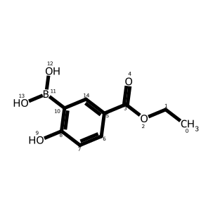 CCOC(=O)c1ccc(O)c(B(O)O)c1